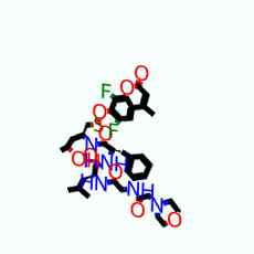 Cc1cc(=O)oc2c(F)c(OSC[C@H](CC(C)O)NC(=O)[C@H](Cc3ccccc3)NC(=O)[C@H](CC(C)C)NC(=O)CNC(=O)CN3CCOCC3)c(F)cc12